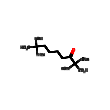 CCCCCCCCC(CCCCCC)(CCCCC(=O)C(CCCCCC)(CCCCCCCC)C(=O)O)C(=O)O